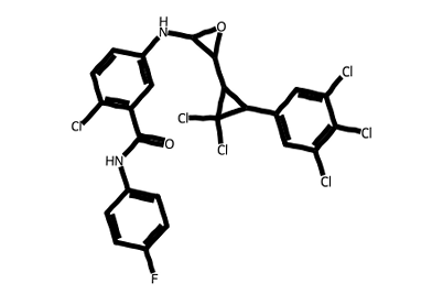 O=C(Nc1ccc(F)cc1)c1cc(NC2OC2C2C(c3cc(Cl)c(Cl)c(Cl)c3)C2(Cl)Cl)ccc1Cl